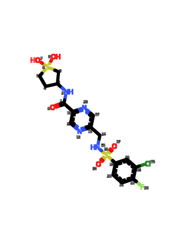 O=C(NC1CCS(O)(O)C1)c1cnc(CNS(=O)(=O)c2ccc(F)c(Cl)c2)cn1